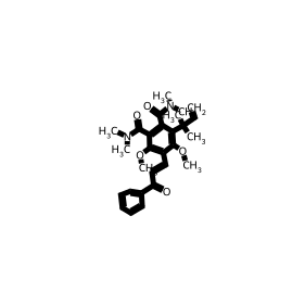 C=CC(C)(C)c1c(OC)c(C=CC(=O)c2ccccc2)c(OC)c(C(=O)N(C)C)c1C(=O)N(C)C